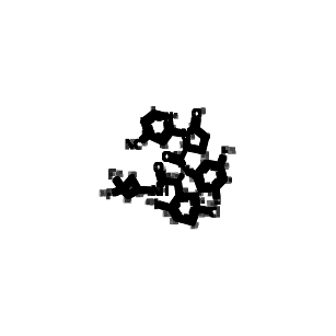 N#Cc1ccnc(N2C(=O)CC[C@H]2C(=O)N(c2cc(F)cc(F)c2)[C@H](C(=O)NC2CC(F)(F)C2)c2cc(Cl)ccc2I)c1